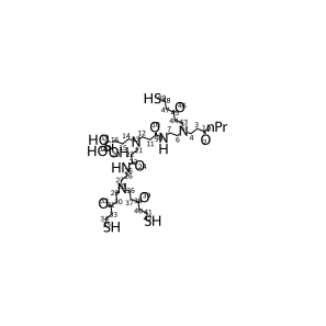 CCCC(=O)CCN(CCNC(=O)CCN(CCC[Si](O)(O)O)CCC(=O)NCCN(CCC(=O)CCS)CCC(=O)CCS)CCC(=O)CCS